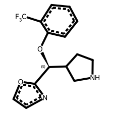 FC(F)(F)c1ccccc1O[C@H](c1ncco1)C1CCNC1